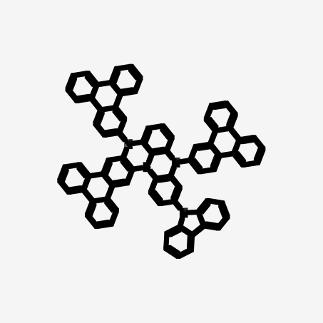 c1cc2c3c(c1)N(c1ccc4c5ccccc5c5ccccc5c4c1)c1cc4c5ccccc5c5ccccc5c4cc1B3c1ccc(-n3c4ccccc4c4ccccc43)cc1N2c1ccc2c3ccccc3c3ccccc3c2c1